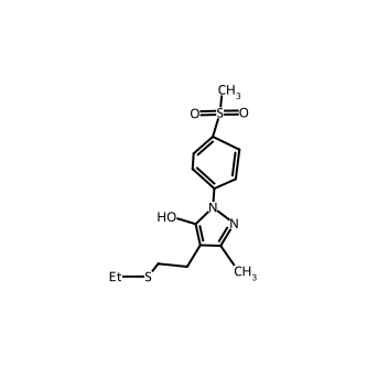 CCSCCc1c(C)nn(-c2ccc(S(C)(=O)=O)cc2)c1O